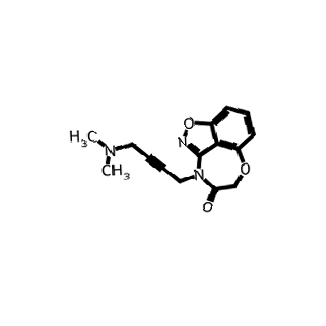 CN(C)CC#CCN1C(=O)COc2cccc3onc1c23